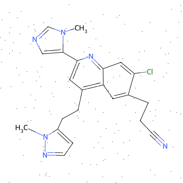 Cn1cncc1-c1cc(CCc2ccnn2C)c2cc(CCC#N)c(Cl)cc2n1